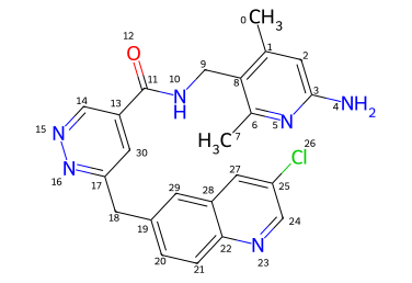 Cc1cc(N)nc(C)c1CNC(=O)c1cnnc(Cc2ccc3ncc(Cl)cc3c2)c1